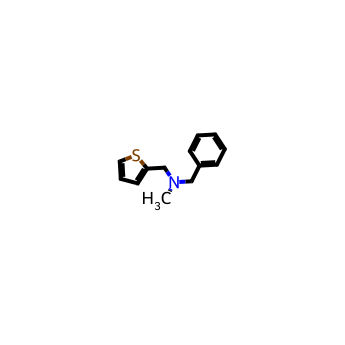 CN(Cc1ccccc1)Cc1cccs1